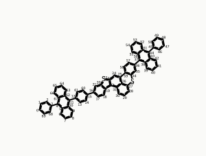 c1ccc(-c2c3ccccc3c(-c3ccc(-c4ccc5c(c4)sc4cc6c7c(cccc7c45)Sc4cc(-c5c7ccccc7c(-c7ccccc7)c7ccccc57)ccc4-6)cc3)c3ccccc23)cc1